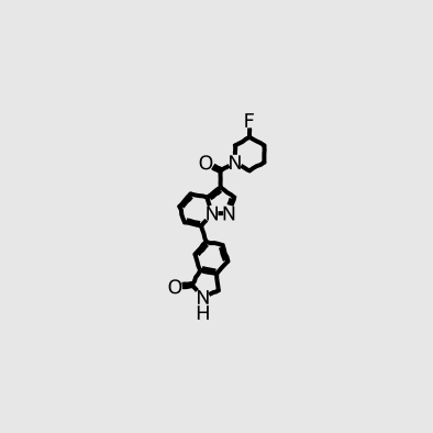 O=C1NCc2ccc(-c3cccc4c(C(=O)N5CCCC(F)C5)cnn34)cc21